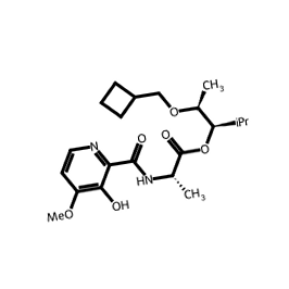 COc1ccnc(C(=O)N[C@@H](C)C(=O)O[C@H](C(C)C)[C@H](C)OCC2CCC2)c1O